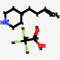 C=CCCC1CCNCC1.O=C(O)C(F)(F)F